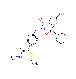 C=N/C(C)=C(\SCC)c1ccc(CNC(=O)[C@@H]2C[C@@H](O)CN2C(=O)C2CCCCC2)cc1